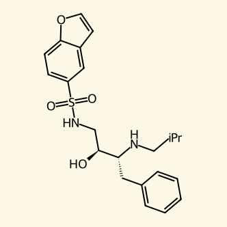 CC(C)CN[C@H](Cc1ccccc1)[C@@H](O)CNS(=O)(=O)c1ccc2occc2c1